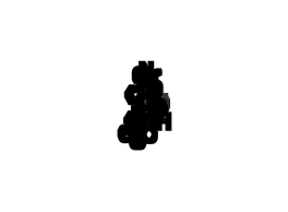 COC(=O)c1c(OC)ccnc1N[C@@H]1CC[C@@H](C)N(C(=O)c2c(F)cccc2-c2nc(C)no2)C1